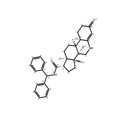 C[C@]12CC[C@H]3[C@@H](CNC4=CC(=O)CC[C@@]43C)[C@@H]1CC[C@@H]2C(=O)NC(c1ccccc1)c1ccccc1